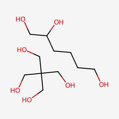 OCC(CO)(CO)CO.OCCCCC(O)CO